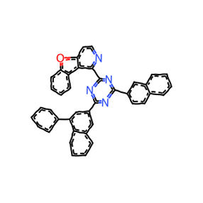 c1ccc(-c2cc(-c3nc(-c4ccc5ccccc5c4)nc(-c4nccc5oc6ccccc6c45)n3)cc3ccccc23)cc1